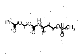 CC(C)C(=O)OCOC(=O)NC(F)CCO[PH](C)=O